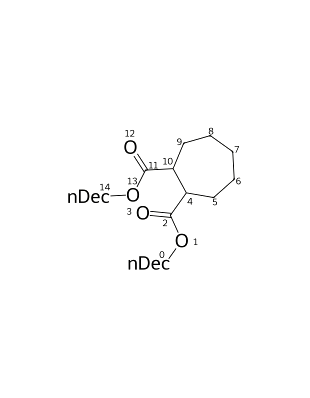 CCCCCCCCCCOC(=O)C1CCCCCC1C(=O)OCCCCCCCCCC